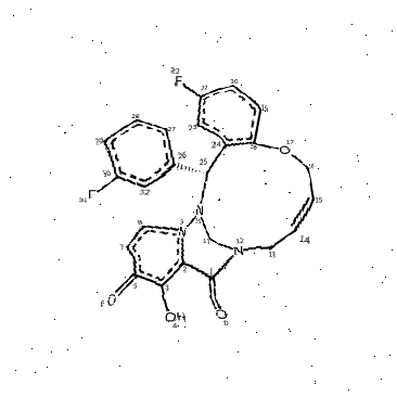 O=C1c2c(O)c(=O)ccn2N2CN1C/C=C\COc1ccc(F)cc1[C@H]2c1cccc(F)c1